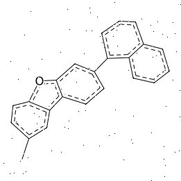 Cc1ccc2oc3cc(-c4cccc5ccccc45)ccc3c2c1